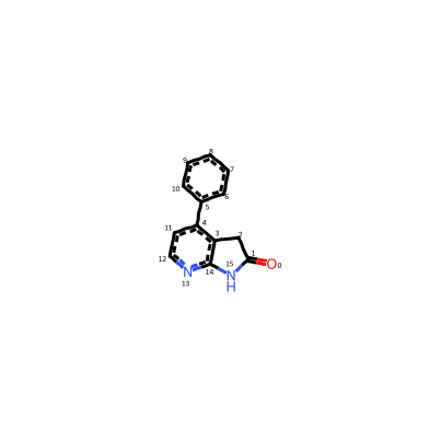 O=C1Cc2c(-c3ccccc3)ccnc2N1